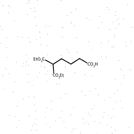 CCOC(=O)C(CCCC(=O)O)C(=O)OCC